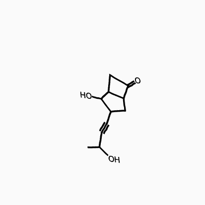 CC(O)C#CC1CC2C(=O)CC2C1O